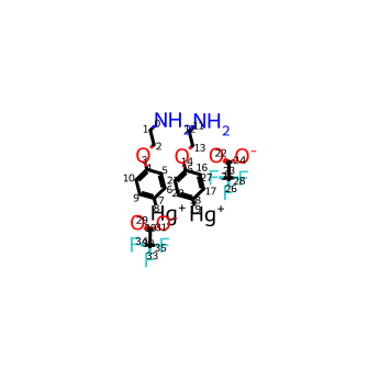 NCCOc1cc[c]([Hg+])cc1.NCCOc1cc[c]([Hg+])cc1.O=C([O-])C(F)(F)F.O=C([O-])C(F)(F)F